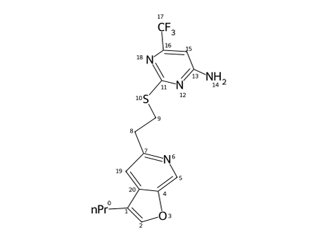 CCCc1coc2cnc(CCSc3nc(N)cc(C(F)(F)F)n3)cc12